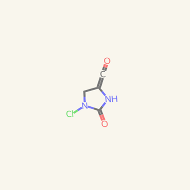 O=C=C1CN(Cl)C(=O)N1